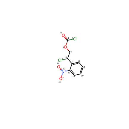 O=C(Cl)OCC(Cl)c1ccccc1[N+](=O)[O-]